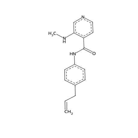 C=CCc1ccc(NC(=O)c2ccncc2NC)cc1